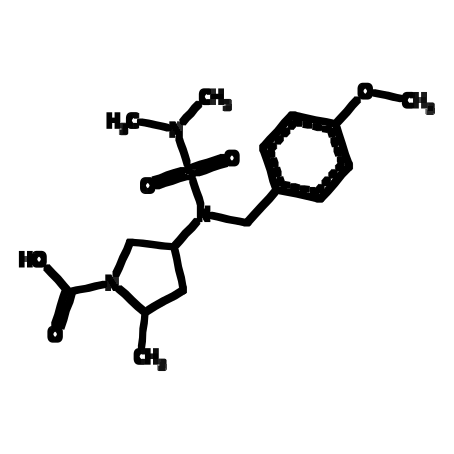 COc1ccc(CN(C2CC(C)N(C(=O)O)C2)S(=O)(=O)N(C)C)cc1